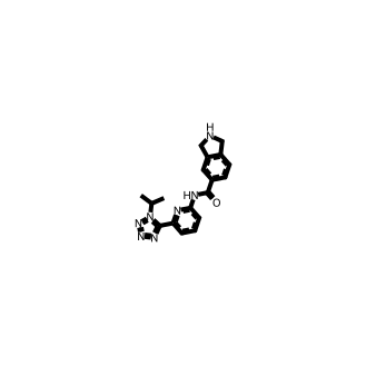 CC(C)n1nnnc1-c1cccc(NC(=O)c2ccc3c(c2)CNC3)n1